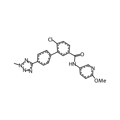 COc1ccc(NC(=O)c2ccc(Cl)c(-c3ccc(-c4nnn(C)n4)cc3)c2)cn1